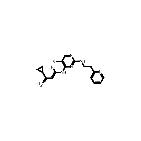 C=C(/C=C(\N)Nc1nc(NCCc2ccccn2)ncc1Br)C1CC1